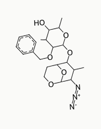 CC1OC(OC2C3CCOC(O3)C(N=[N+]=[N-])C2C)C(OCc2ccccc2)C(C)C1O